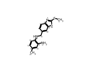 CSc1nc2ccc(CNc3ccc(C)cc3N)cc2s1